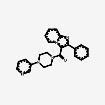 O=C(c1c(-c2ccccc2)nc2ccccn12)N1CCN(c2cccnc2)CC1